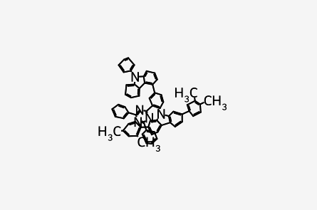 Cc1ccc(-c2ccc3c4ccc(-c5ccc(C)c(C)c5)cc4n(-c4ccc(-c5cccc6c5c5ccccc5n6-c5ccccc5)cc4-c4nc(-c5ccccc5)nc(-c5ccccc5)n4)c3c2)c(C)c1